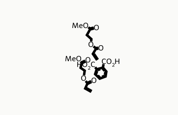 C=CC(=O)OCCC(=O)OC.C=CC(=O)OCCC(=O)OC.O=C(O)c1ccccc1C(=O)O